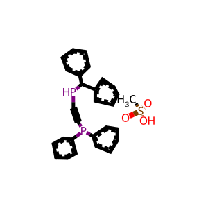 C(#CP(c1ccccc1)c1ccccc1)PC(c1ccccc1)c1ccccc1.CS(=O)(=O)O